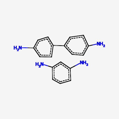 Nc1ccc(-c2ccc(N)cc2)cc1.Nc1cccc(N)c1